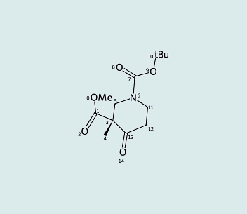 COC(=O)[C@]1(C)CN(C(=O)OC(C)(C)C)CCC1=O